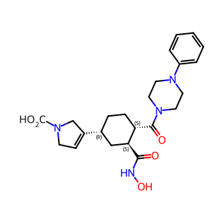 O=C(NO)[C@H]1C[C@H](C2=CCN(C(=O)O)C2)CC[C@@H]1C(=O)N1CCN(c2ccccc2)CC1